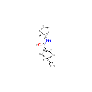 O=C(NC1CC2C=CC1C2)c1ccc(C(F)(F)F)cc1